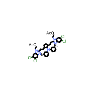 CCN1/C(=C\C=C2/CCC(/C=C/c3n(CC)c4cc(Cl)c(Cl)cc4[n+]3CCOC(C)=O)=C2N(c2ccccc2)c2ccccc2)N(CCOC(C)=O)c2cc(Cl)c(Cl)cc21